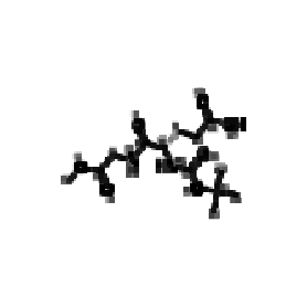 COC(=O)CNC(=O)[C@H](CCC(=O)O)NC(=O)OC(C)(C)C